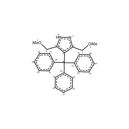 COCc1n[nH]c(COC)c1C(c1ccccc1)(c1ccccc1)c1ccccc1